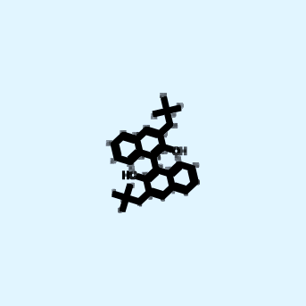 CC(C)(C)Cc1cc2ccccc2c(-c2c(O)c(CC(C)(C)C)cc3ccccc23)c1O